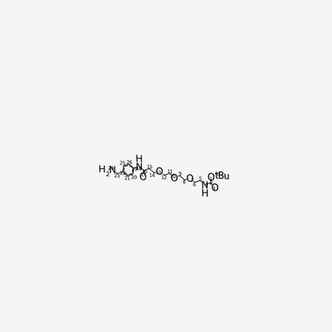 CC(C)(C)OC(=O)NCCOCCOCCOCCC(=O)Nc1ccc(CN)cc1